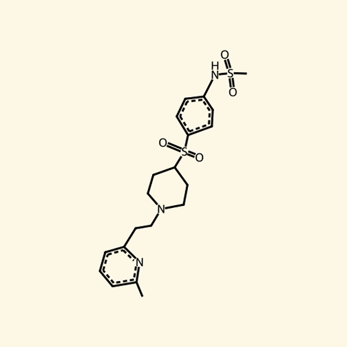 Cc1cccc(CCN2CCC(S(=O)(=O)c3ccc(NS(C)(=O)=O)cc3)CC2)n1